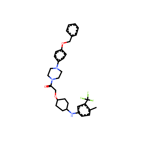 Cc1ccc(NC2CCC(OCC(=O)N3CCN(c4ccc(OCc5ccccc5)cc4)CC3)CC2)cc1C(F)(F)F